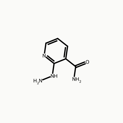 NNc1ncccc1C(N)=O